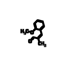 COc1ccccc1C=C(C)C=O